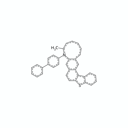 Cc1cccccc2cc3c(ccc4sc5ccccc5c43)cc2n1-c1ccc(-c2ccccc2)cc1